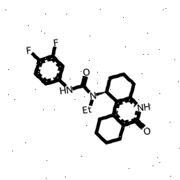 CCN(C(=O)Nc1ccc(F)c(F)c1)[C@H]1CCCc2[nH]c(=O)c3c(c21)CCCC3